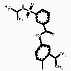 CC(C)NS(=O)(=O)c1cccc(C(=O)Nc2ccc(F)c(C(C)C)c2)c1